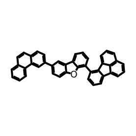 c1cc(-c2cccc3c2oc2ccc(-c4ccc5ccc6ccccc6c5c4)cc23)c2c(c1)-c1cccc3cccc-2c13